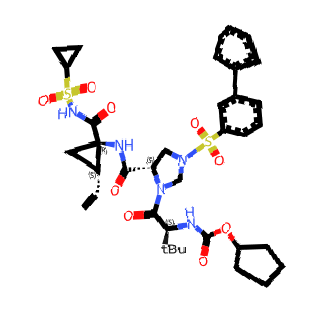 C=C[C@@H]1C[C@]1(NC(=O)[C@@H]1CN(S(=O)(=O)c2cccc(-c3ccccc3)c2)CN1C(=O)[C@@H](NC(=O)OC1CCCC1)C(C)(C)C)C(=O)NS(=O)(=O)C1CC1